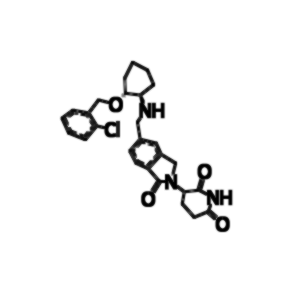 O=C1CCC(N2Cc3cc(CN[C@@H]4CCCC[C@H]4OCc4ccccc4Cl)ccc3C2=O)C(=O)N1